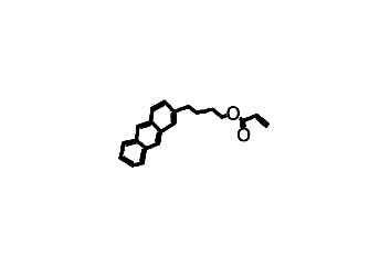 C=CC(=O)OCCCCc1ccc2cc3ccccc3cc2c1